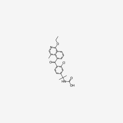 CCOc1ncc(C)c2c(C(=O)c3ccc(C(C)(C)NC(=O)O)cc3Cl)cccc12